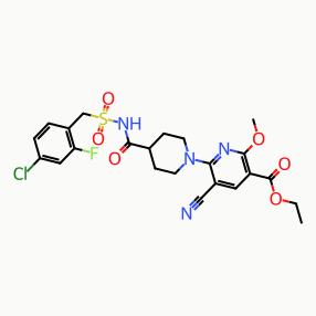 CCOC(=O)c1cc(C#N)c(N2CCC(C(=O)NS(=O)(=O)Cc3ccc(Cl)cc3F)CC2)nc1OC